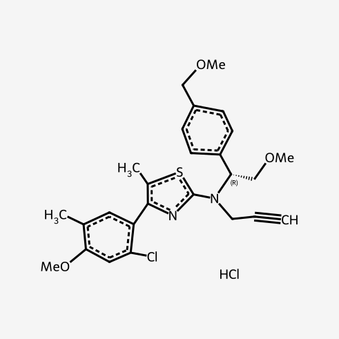 C#CCN(c1nc(-c2cc(C)c(OC)cc2Cl)c(C)s1)[C@@H](COC)c1ccc(COC)cc1.Cl